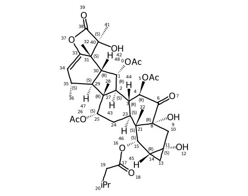 CC(=O)O[C@@H]1[C@H]2[C@@H]3[C@@H](OC(C)=O)C(=O)[C@@]4(O)C[C@@]5(O)C[C@@H]5[C@H](OC(=O)CC(C)C)[C@]4(C)[C@H]3C[C@H](OC(C)=O)[C@]2(C)[C@@H]2[C@@H]1[C@]1(C)C(=C[C@H]2C)OC(=O)[C@@]1(C)O